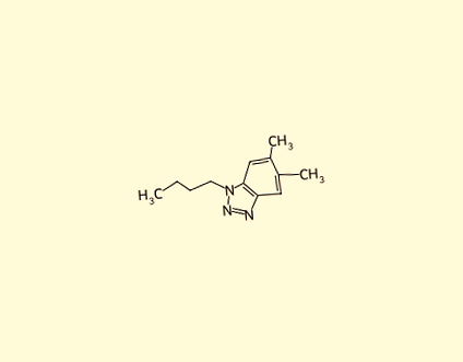 CCCCn1nnc2cc(C)c(C)cc21